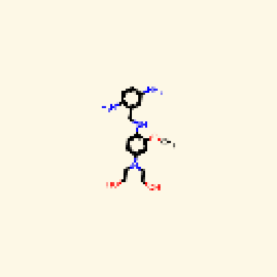 COc1cc(N(CCO)CCO)ccc1NCc1cc(N)ccc1N